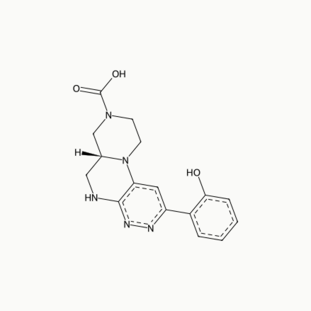 O=C(O)N1CCN2c3cc(-c4ccccc4O)nnc3NC[C@@H]2C1